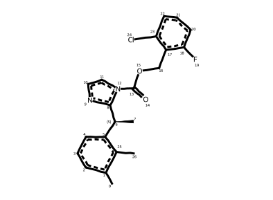 Cc1cccc([C@H](C)c2nccn2C(=O)OCc2c(F)cccc2Cl)c1C